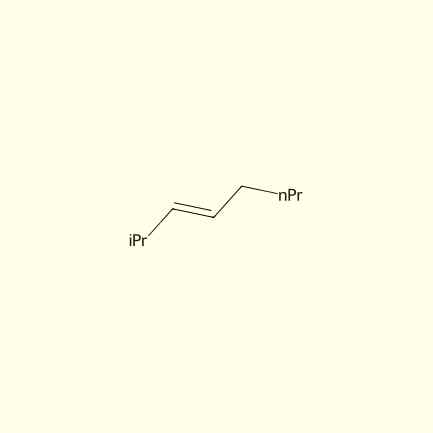 CCCC/C=C/C(C)C